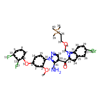 COc1cc(Oc2cccc(F)c2F)ccc1-n1ncc(C(=O)c2cc3cc(Br)ccc3n2COCCS(C)(C)C)c1N